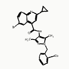 Cc1nn(Cc2ccccc2C#N)c(C)c1NC(=O)c1cc(C2CC2)nc2ccc(Br)cc12